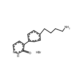 Br.NCCCCc1ccc(-c2ccn[nH]c2=O)cc1